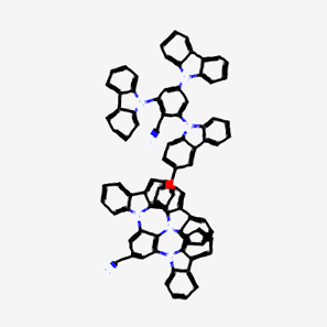 N#Cc1cc(-n2c3ccccc3c3ccccc32)c(-n2c3ccccc3c3cc(-c4ccc5c(c4)c4ccccc4n5-c4cc(-n5c6ccccc6c6ccccc65)cc(-n5c6ccccc6c6ccccc65)c4C#N)ccc32)c(-n2c3ccccc3c3ccccc32)c1